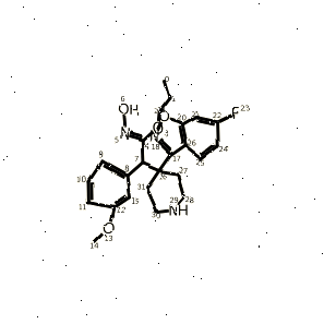 CCCOC(=NO)C(c1cccc(OC)c1)C1(c2noc3cc(F)ccc23)CCNCC1